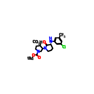 CC(C)(C)OC(=O)N1CCC(C(=O)O)[C@@H](N2CCC[C@@H](Nc3cc(Cl)cc(C(F)(F)F)c3)C2=O)C1